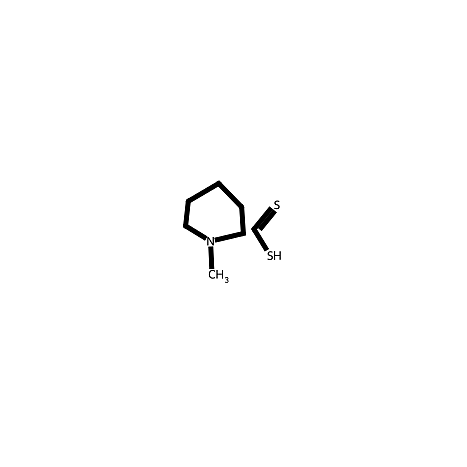 CN1CCCCC1.S=CS